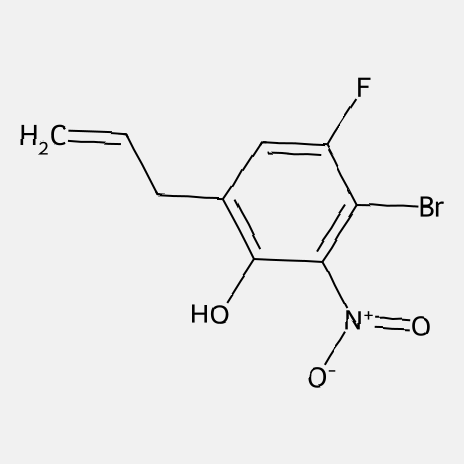 C=CCc1cc(F)c(Br)c([N+](=O)[O-])c1O